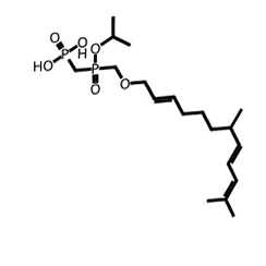 CC(C)=C/C=C/C(C)CCC/C=C/COCP(=O)(CP(=O)(O)O)OC(C)C